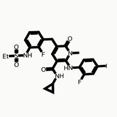 CCS(=O)(=O)Nc1cccc(Cc2cc(C(=O)NC3CC3)c(Nc3ccc(I)cc3F)n(C)c2=O)c1F